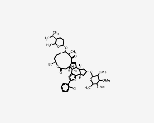 CC[C@H]1CCC[C@H](O[C@H]2CC[C@H](N(C)C)C(C)O2)[C@@H](C)C(=O)C2=C[C@H]3[C@@H]4C[C@H](OC5OC(C)C(OC)C(OC)C5OC)C[C@H]4c4sc(-c5ccccc5Cl)nc4[C@H]3[C@@H]2CC(=O)O1